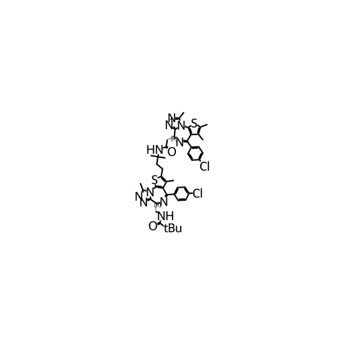 Cc1sc2c(c1C)C(c1ccc(Cl)cc1)=N[C@H](CC(=O)NC(C)(C)CCc1sc3c(c1C)C(c1ccc(Cl)cc1)=N[C@H](CNC(=O)C(C)(C)C)c1nnc(C)n1-3)c1nnc(C)n1-2